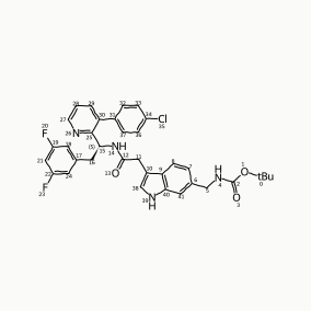 CC(C)(C)OC(=O)NCc1ccc2c(CC(=O)N[C@@H](Cc3cc(F)cc(F)c3)c3ncccc3-c3ccc(Cl)cc3)c[nH]c2c1